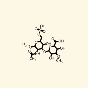 COC1OC(COS(=O)(=O)O)C(O)C(OC2OC(C(=O)O)C(O)C(OC)C2O)C1NC(C)=O